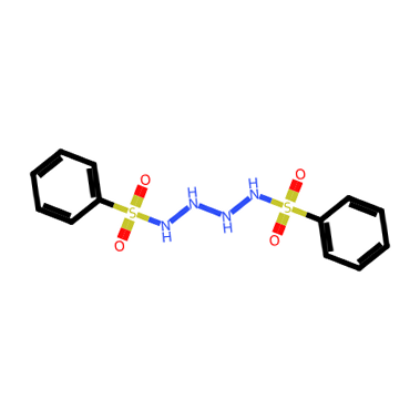 O=S(=O)(NNNNS(=O)(=O)c1ccccc1)c1ccccc1